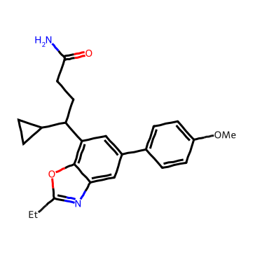 CCc1nc2cc(-c3ccc(OC)cc3)cc(C(CCC(N)=O)C3CC3)c2o1